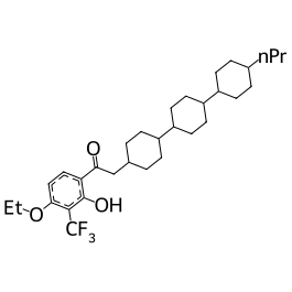 CCCC1CCC(C2CCC(C3CCC(CC(=O)c4ccc(OCC)c(C(F)(F)F)c4O)CC3)CC2)CC1